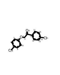 O=C(COc1ccc(Cl)cc1)c1ccc(Cl)cc1